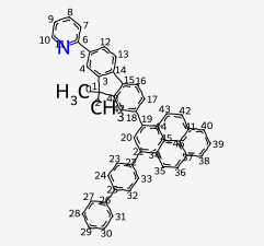 CC1(C)c2cc(-c3ccccn3)ccc2-c2ccc(-c3cc(-c4ccc(-c5ccccc5)cc4)c4ccc5cccc6ccc3c4c56)cc21